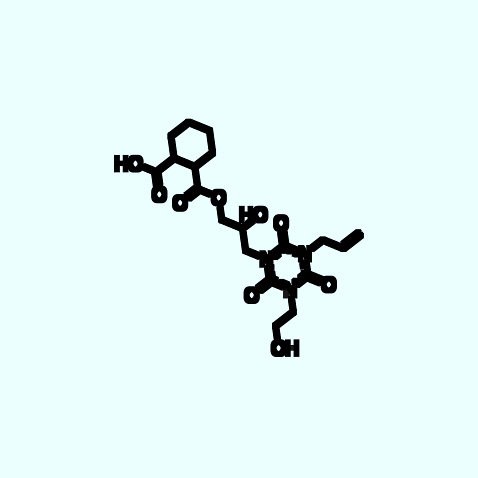 C=CCn1c(=O)n(CCO)c(=O)n(CC(O)COC(=O)C2CCCCC2C(=O)O)c1=O